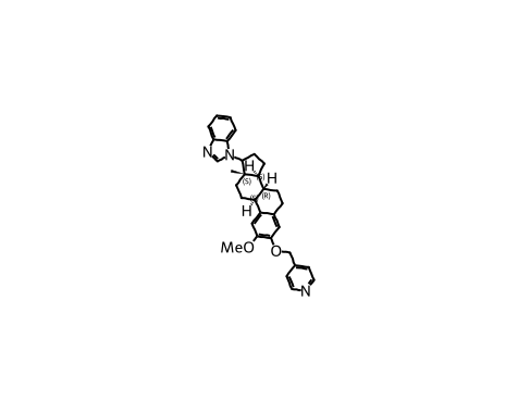 COc1cc2c(cc1OCc1ccncc1)CC[C@@H]1[C@@H]2CC[C@]2(C)C(n3cnc4ccccc43)CC[C@@H]12